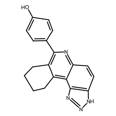 Oc1ccc(-c2nc3ccc4[nH]nnc4c3c3c2CCCC3)cc1